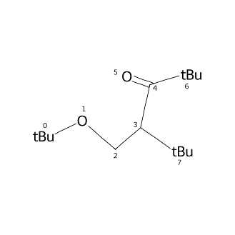 CC(C)(C)OCC(C(=O)C(C)(C)C)C(C)(C)C